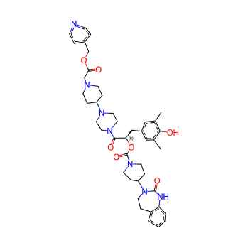 Cc1cc(C[C@@H](OC(=O)N2CCC(N3CCc4ccccc4NC3=O)CC2)C(=O)N2CCN(C3CCN(CC(=O)OCc4ccncc4)CC3)CC2)cc(C)c1O